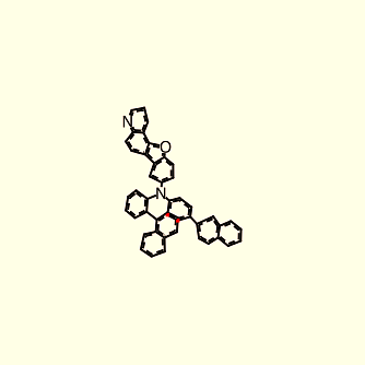 c1ccc(N(c2ccc(-c3ccc4ccccc4c3)cc2)c2ccc3oc4c5cccnc5ccc4c3c2)c(-c2cccc3ccccc23)c1